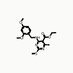 CCOC(=O)c1c(C)nc(SC)nc1NCc1ccc(OC)cc1OC